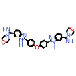 N=C(c1ccc2nc(-c3ccc(Oc4ccc(-c5nc6ccc(C(=N)N7CCOCC7)cc6[nH]5)cc4)cc3)[nH]c2c1)N1CCOCC1